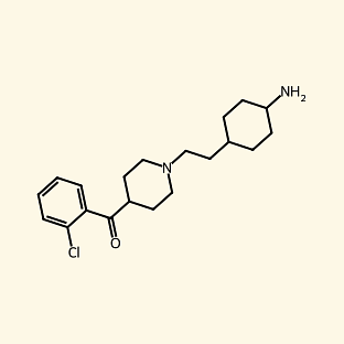 NC1CCC(CCN2CCC(C(=O)c3ccccc3Cl)CC2)CC1